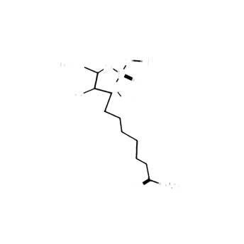 CCCCCCCCC(OP(=O)(OCCCC)OCCCC)C(O)CCCCCCCC(=O)OC